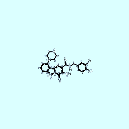 O=C(NCc1ccc(Cl)c(Cl)c1)c1nc2c3c(N4CCOCC4)cccc3[nH]n2c(=O)c1O